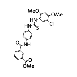 COC(=O)c1cccc(C(=O)Nc2ccc(NC(=S)Nc3cc(Cl)c(OC)cc3OC)cc2)c1